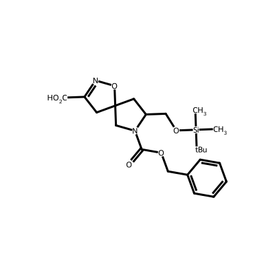 CC(C)(C)[Si](C)(C)OCC1CC2(CC(C(=O)O)=NO2)CN1C(=O)OCc1ccccc1